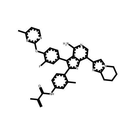 C=C(C)C(=O)Nc1ccc(-c2sc3c(-c4cn5c(n4)CCCC5)cnc(N)c3c2-c2ccc(Oc3nccc(C)n3)c(F)c2)c(C)c1